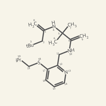 C=C(CC(C)(C)C)NC(C)(C)C(=C)NCc1ncccc1SCC(C)C